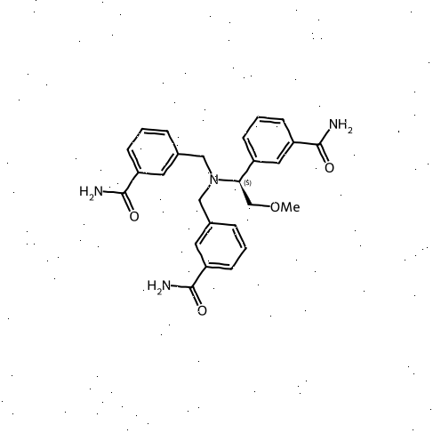 COC[C@H](c1cccc(C(N)=O)c1)N(Cc1cccc(C(N)=O)c1)Cc1cccc(C(N)=O)c1